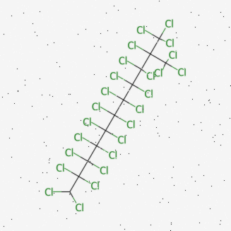 Cl[C](Cl)C(Cl)(Cl)C(Cl)(Cl)C(Cl)(Cl)C(Cl)(Cl)C(Cl)(Cl)C(Cl)(Cl)C(Cl)(Cl)C(Cl)(Cl)C(Cl)(C(Cl)(Cl)Cl)C(Cl)(Cl)Cl